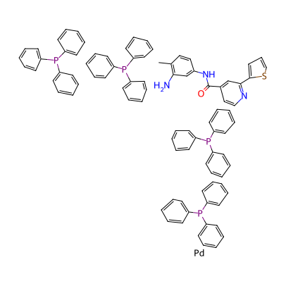 Cc1ccc(NC(=O)c2ccnc(-c3cccs3)c2)cc1N.[Pd].c1ccc(P(c2ccccc2)c2ccccc2)cc1.c1ccc(P(c2ccccc2)c2ccccc2)cc1.c1ccc(P(c2ccccc2)c2ccccc2)cc1.c1ccc(P(c2ccccc2)c2ccccc2)cc1